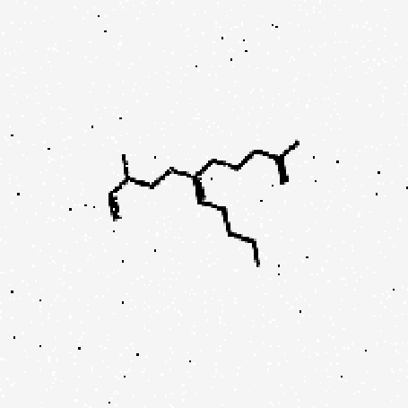 C=CC(C)CCC(=CCCCC)CCCC(=C)C